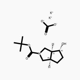 CC(C)(C)OC(=O)N1C[C@@H]2CC[C@@H](O)[C@@H]2C1.O=C([O-])[O-].[K+].[K+]